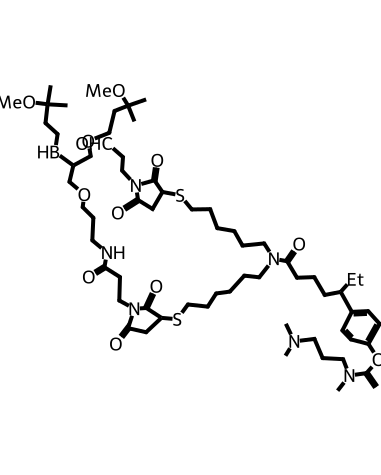 C=C(Oc1ccc(C(CC)CCCC(=O)N(CCCCCCSC2CC(=O)N(CCC=O)C2=O)CCCCCCSC2CC(=O)N(CCC(=O)NCCCOCC(BCCC(C)(C)OC)COCCC(C)(C)OC)C2=O)cc1)N(C)CCCN(C)C